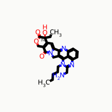 CCCCCN1C(CN)=Nc2cccc3nc4c(c1c23)Cn1c-4cc2c(c1=O)COC(=O)[C@]2(O)CC